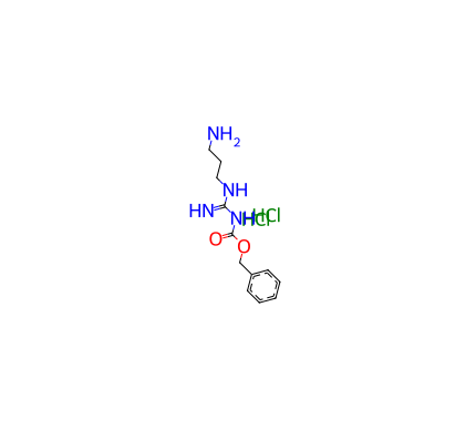 Cl.Cl.N=C(NCCCN)NC(=O)OCc1ccccc1